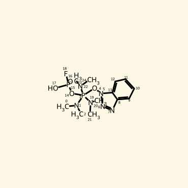 CN(C)P(On1nnc2ccccc21)(OP(=O)(O)F)(N(C)C)N(C)C